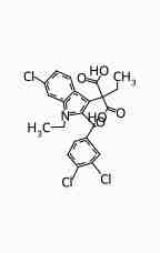 CCn1c(C(=O)c2ccc(Cl)c(Cl)c2)c(C(CC)(C(=O)O)C(=O)O)c2ccc(Cl)cc21